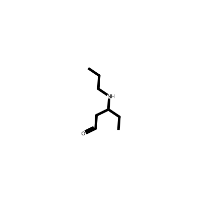 CCCNC(CC)CC=O